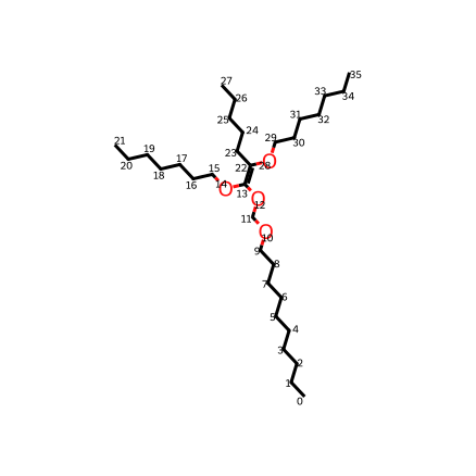 CCCCCCCCCCOCOC(OCCCCCCC)=C(CCCCC)OCCCCCCC